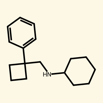 c1ccc(C2(CNC3CCCCC3)CCC2)cc1